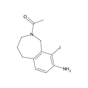 CC(=O)N1CCCc2ccc(N)c(I)c2C1